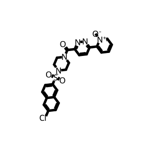 O=C(c1ccc(-c2cccc[n+]2[O-])nn1)N1CCN(S(=O)(=O)c2ccc3cc(Cl)ccc3c2)CC1